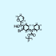 CC(C)(C)OC(=O)N(c1ccccc1)c1ccc(C(O)C2CCCCO2)c(Br)c1